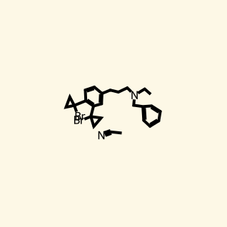 CC#N.CCN(CCCc1ccc(C2(Br)CC2)c(C2(Br)CC2)c1)Cc1ccccc1